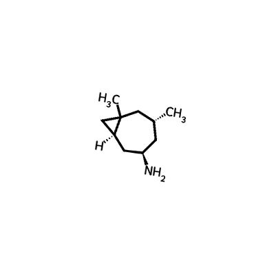 C[C@@H]1C[C@@H](N)C[C@H]2CC2(C)C1